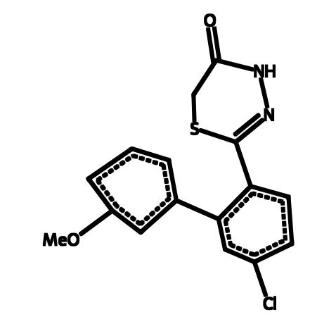 COc1cccc(-c2cc(Cl)ccc2C2=NNC(=O)CS2)c1